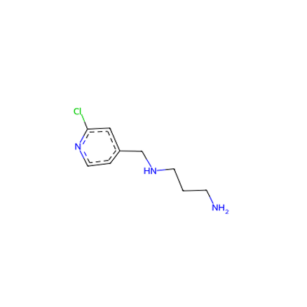 NCCCNCc1ccnc(Cl)c1